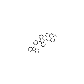 Cc1cccc2cc(-c3c4ccccc4c(-c4cccc(-n5c6ccccc6c6ccccc65)c4)c4ccccc34)c3cccc(C)c3c12